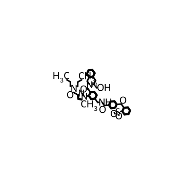 CCCCN(CCCC)C(=O)c1cc(C)n(-c2cc(CNC(=O)c3ccc4c(c3)S(=O)(=O)c3ccccc3C4=O)ccc2C(=O)N2Cc3ccccc3C[C@H]2CO)n1